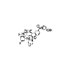 CC(Nc1cc(F)cc(F)c1)C1=C(N2CCOCC2)Oc2ccc(C(=O)N3CCC(O)C3)cc2C1C=O